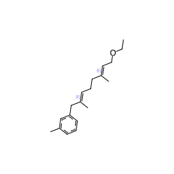 CCOC/C=C(\C)CC/C=C(\C)Cc1cccc(C)c1